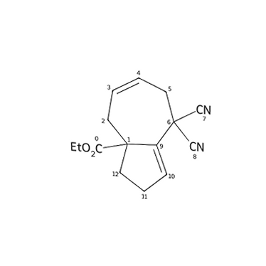 CCOC(=O)C12CC=CCC(C#N)(C#N)C1=CCC2